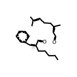 CC(C)=CCCC(C)=CC=O.CCCCC/C(C=O)=C/c1ccccc1